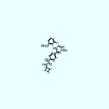 CCCCN[C@@H](Cc1cccc(OC)c1)NC(=O)c1ccc(S(=O)(=O)NC2CCC2)cc1